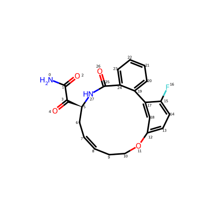 NC(=O)C(=O)[C@@H]1C/C=C\CCOc2ccc(F)c(c2)-c2ccccc2C(=O)N1